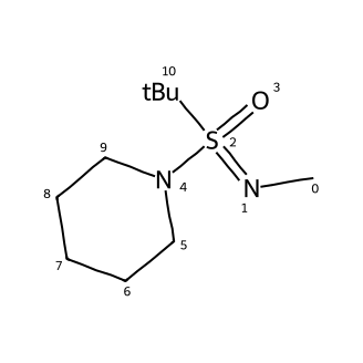 CN=S(=O)(N1CCCCC1)C(C)(C)C